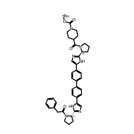 CC(C)(C)OC(=O)N1CCC(C(=O)N2CCC[C@H]2c2ncc(-c3ccc(-c4ccc(-c5cnc([C@@H]6CCCN6C(=O)Cc6ccccc6)[nH]5)cc4)cc3)[nH]2)CC1